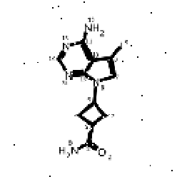 NC(=O)C1CC(n2cc(I)c3c(N)ncnc32)C1